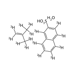 O.[2H]C([2H])=C(C([2H])([2H])[2H])C([2H])([2H])[2H].[2H]c1c([2H])c([2H])c2c([2H])c(S(=O)(=O)O)c([2H])c([2H])c2c1[2H]